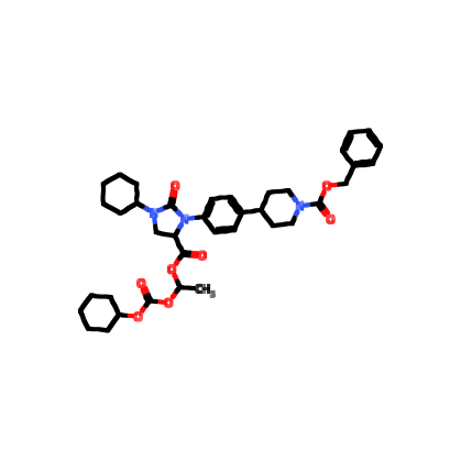 CC(OC(=O)OC1CCCCC1)OC(=O)C1CN(C2CCCCC2)C(=O)N1c1ccc(C2CCN(C(=O)OCc3ccccc3)CC2)cc1